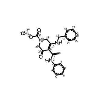 C=C(Nc1ccccc1)C1=C(NCc2ccncc2)CN(C(=O)OC(C)(C)C)CC1=O